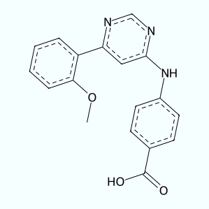 COc1ccccc1-c1cc(Nc2ccc(C(=O)O)cc2)ncn1